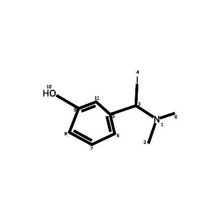 CN(C)C(I)c1cccc(O)c1